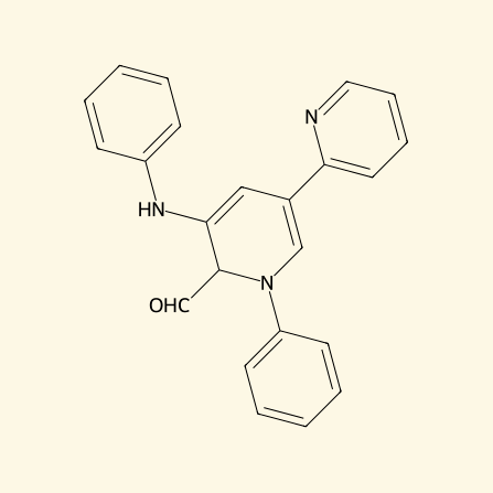 O=CC1C(Nc2ccccc2)=CC(c2ccccn2)=CN1c1ccccc1